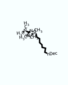 CCCCCCCCCCCCCCCCCC[Si](C)(C)N=C(N(C)C)N(C)C